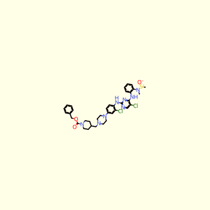 CN(c1ccccc1Nc1nc(Nc2ccc(N3CCN(CC4CCN(C(=O)OCc5ccccc5)CC4)CC3)cc2Cl)ncc1Cl)[S+](C)[O-]